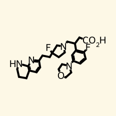 O=C(O)CC(CN1CCC(F)(CCc2ccc3c(n2)NCCC3)C1)c1cc(N2CCOCC2)ccc1F